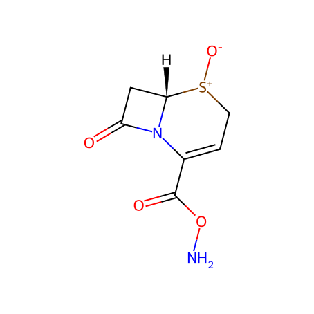 NOC(=O)C1=CC[S+]([O-])[C@H]2CC(=O)N12